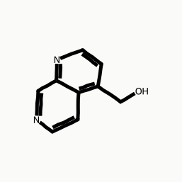 OCc1ccnc2cnccc12